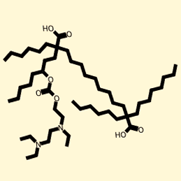 CCCCCCCCC(CCCCCC)(CCCCCCCCCC(CCCCCC)(CCC(CCCCC)OC(=O)OCCN(CC)CCN(CC)CC)C(=O)O)C(=O)O